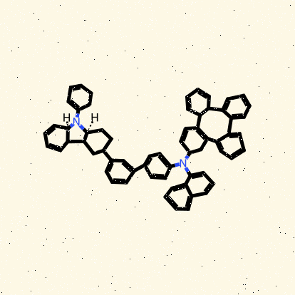 C1=CCCC(N2[C@@H]3C=CC=CC3C3CC(c4cccc(-c5ccc(N(c6cccc7ccccc67)C6C=CC7=C(C6)c6ccccc6-c6ccccc6C6C=CC=CC76)cc5)c4)CC[C@@H]32)=C1